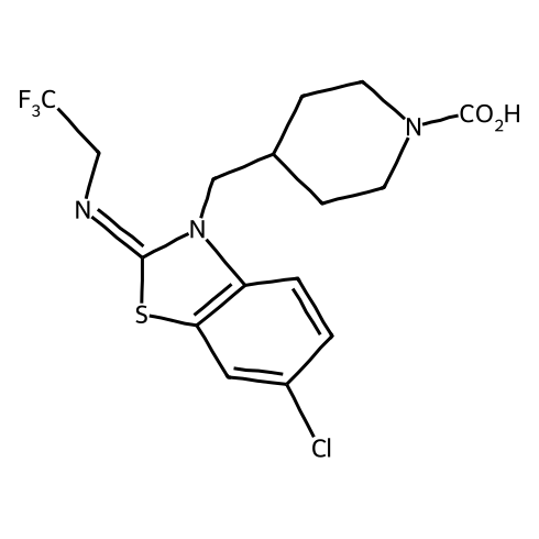 O=C(O)N1CCC(Cn2c(=NCC(F)(F)F)sc3cc(Cl)ccc32)CC1